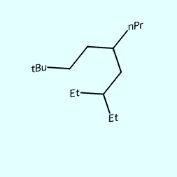 CCC[C](CCC(C)(C)C)CC(CC)CC